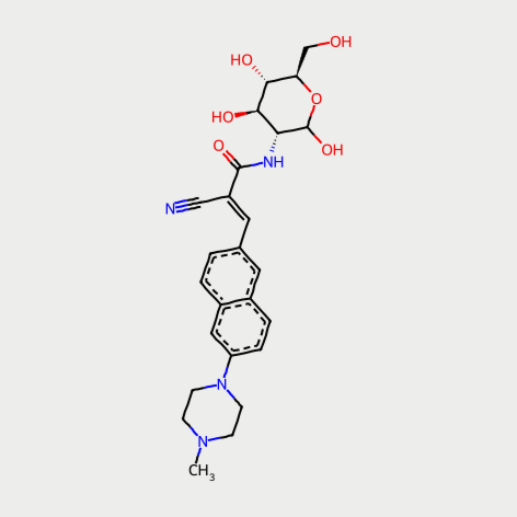 CN1CCN(c2ccc3cc(/C=C(\C#N)C(=O)N[C@H]4C(O)O[C@H](CO)[C@@H](O)[C@@H]4O)ccc3c2)CC1